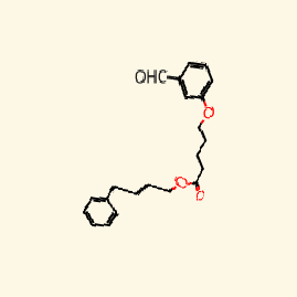 O=Cc1cccc(OCCCCC(=O)OCCCCc2ccccc2)c1